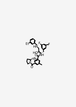 CCCC[C@H]1CCCN1C(=O)c1cc(C)cc(C(=O)N[C@@H](Cc2cc(F)cc(F)c2)[C@@H](O)CNCc2cccc(CC)c2)c1